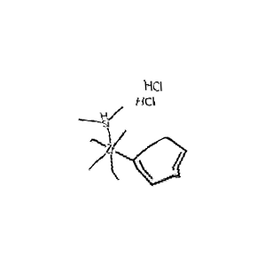 C[SiH](C)[Zr]([CH3])([CH3])([CH3])([CH3])[C]1=CC=CC1.Cl.Cl